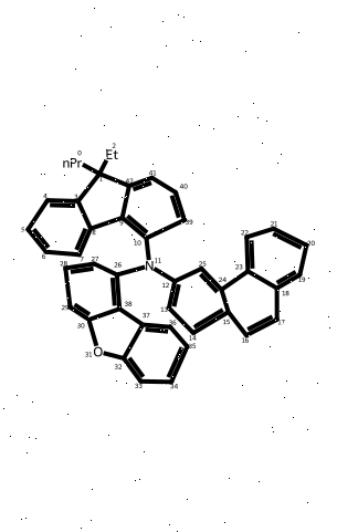 CCCC1(CC)c2ccccc2-c2c(N(c3ccc4ccc5ccccc5c4c3)c3cccc4oc5ccccc5c34)cccc21